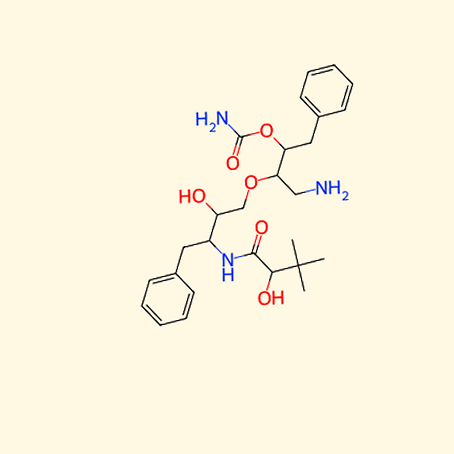 CC(C)(C)C(O)C(=O)NC(Cc1ccccc1)C(O)COC(CN)C(Cc1ccccc1)OC(N)=O